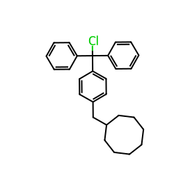 ClC(c1ccccc1)(c1ccccc1)c1ccc(CC2CCCCCCC2)cc1